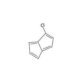 ClC1=CC=C2C=CC=C12